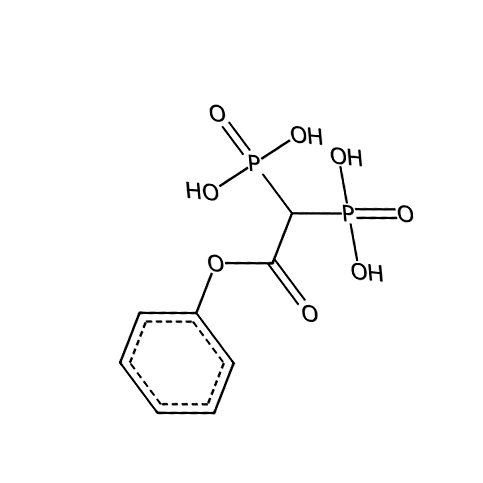 O=C(Oc1ccccc1)C(P(=O)(O)O)P(=O)(O)O